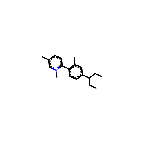 CCC(CC)c1ccc(-c2ccc(C)c[n+]2C)c(C)c1